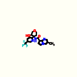 Cc1cnc2c(C(=O)NC3(c4ccc(C(F)(F)F)cn4)CCOCC3O)ccn2c1